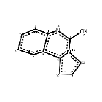 N#Cc1nc2ccccc2c2cccn12